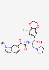 CC(C)n1ccc2ccc(C(=O)C(=O)NC(CN3CCCC3)C(O)c3cc(F)c4c(c3)OCCO4)cc21